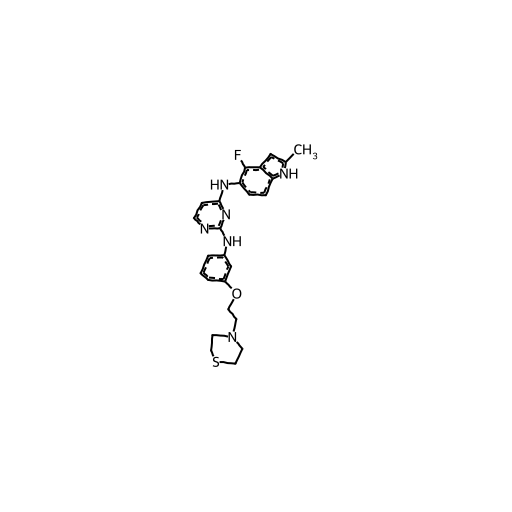 Cc1cc2c(F)c(Nc3ccnc(Nc4cccc(OCCN5CCSCC5)c4)n3)ccc2[nH]1